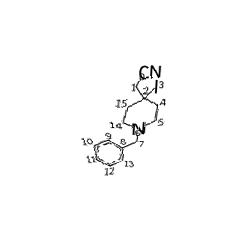 N#CCC1(I)CCN(Cc2ccccc2)CC1